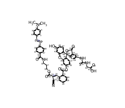 CN(C)c1ccc(/N=N/c2ccc(C(=O)NCCCOC(=O)/C(C#N)=C/c3ccccc3C(=O)Oc3ccc4c(c3)Oc3cc(O)ccc3C43OC(=O)c4cc(NC(=S)NCC(=O)O)ccc43)cc2)cc1